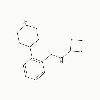 [c]1cccc(C2CCNCC2)c1CNC1CCC1